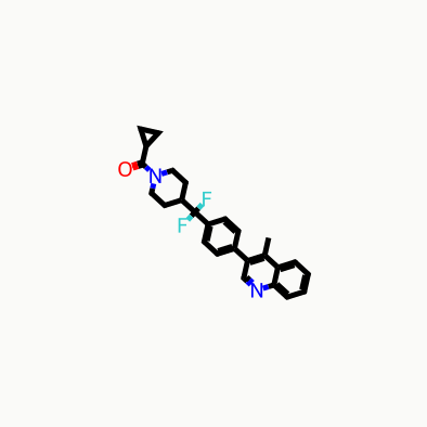 Cc1c(-c2ccc(C(F)(F)C3CCN(C(=O)C4CC4)CC3)cc2)cnc2ccccc12